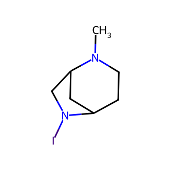 CN1CCC2CC1CN2I